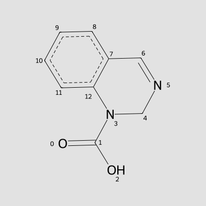 O=C(O)N1CN=Cc2ccccc21